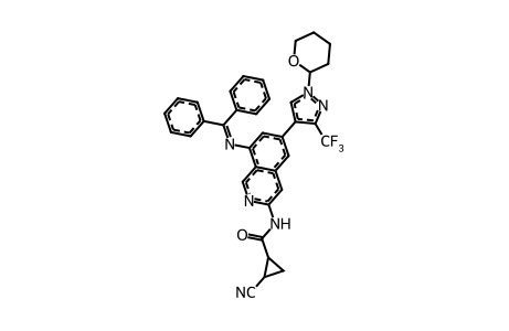 N#CC1CC1C(=O)Nc1cc2cc(-c3cn(C4CCCCO4)nc3C(F)(F)F)cc(N=C(c3ccccc3)c3ccccc3)c2cn1